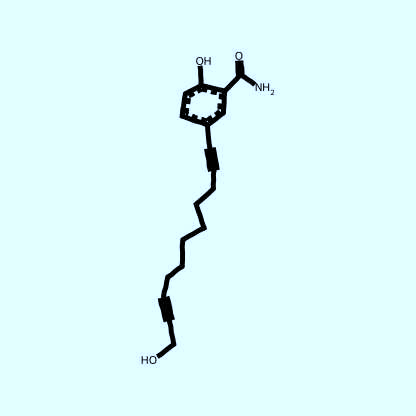 NC(=O)c1cc(C#CCCCCCCC#CCO)ccc1O